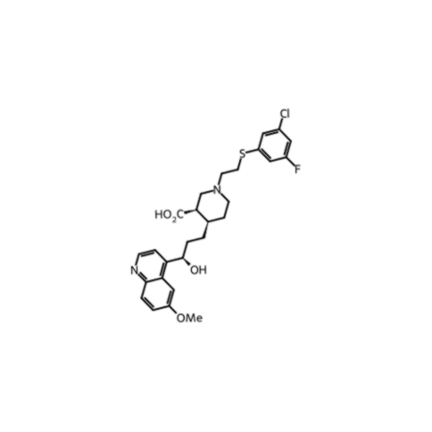 COc1ccc2nccc([C@H](O)CC[C@@H]3CCN(CCSc4cc(F)cc(Cl)c4)C[C@@H]3C(=O)O)c2c1